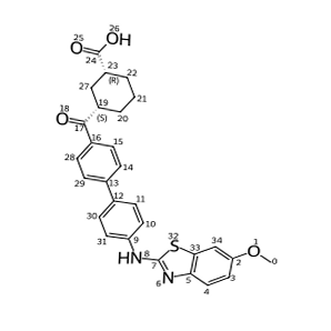 COc1ccc2nc(Nc3ccc(-c4ccc(C(=O)[C@H]5CCC[C@@H](C(=O)O)C5)cc4)cc3)sc2c1